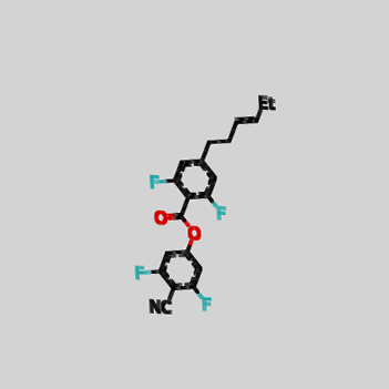 CCC=CCCc1cc(F)c(C(=O)Oc2cc(F)c(C#N)c(F)c2)c(F)c1